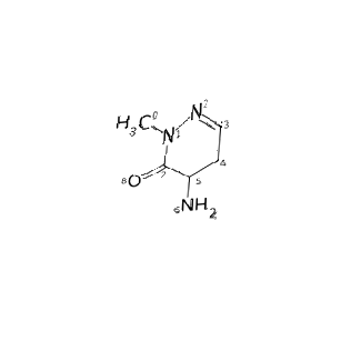 CN1N=[C]CC(N)C1=O